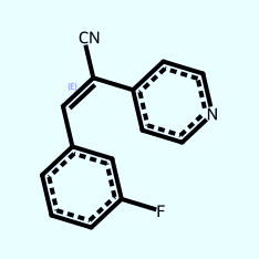 N#C/C(=C/c1cccc(F)c1)c1ccncc1